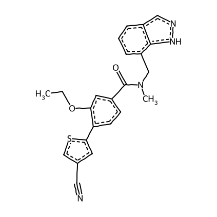 CCOc1cc(C(=O)N(C)Cc2cccc3cn[nH]c23)ccc1-c1cc(C#N)cs1